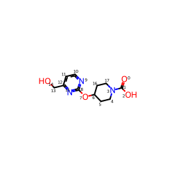 O=C(O)N1CCC(Oc2nccc(CO)n2)CC1